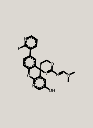 CN(C)/C=N/C1=N[C@@]2(CCO1)c1cc(-c3cccnc3F)ccc1Oc1ncc(O)cc12